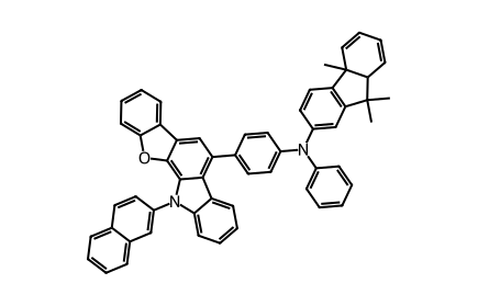 CC1(C)c2cc(N(c3ccccc3)c3ccc(-c4cc5c6ccccc6oc5c5c4c4ccccc4n5-c4ccc5ccccc5c4)cc3)ccc2C2(C)C=CC=CC12